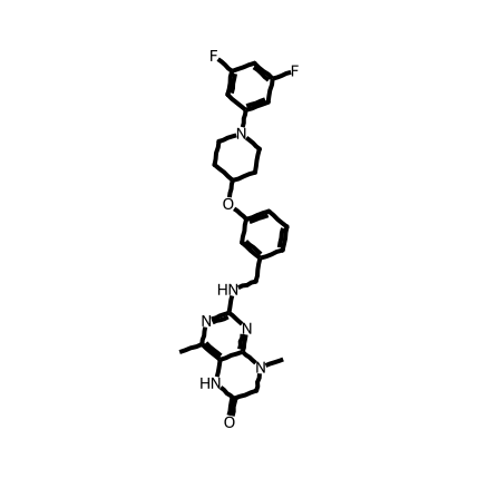 Cc1nc(NCc2cccc(OC3CCN(c4cc(F)cc(F)c4)CC3)c2)nc2c1NC(=O)CN2C